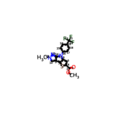 COC(=O)c1cc2c(s1)c1cn(C)nc1n2-c1ccc(C(F)(F)F)cc1